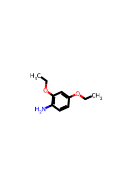 CCOc1ccc(N)c(OCC)c1